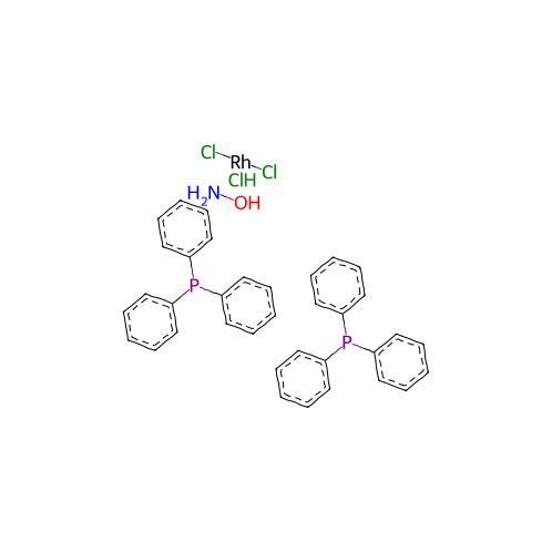 Cl.NO.[Cl][Rh][Cl].c1ccc(P(c2ccccc2)c2ccccc2)cc1.c1ccc(P(c2ccccc2)c2ccccc2)cc1